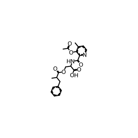 CC(=O)Oc1c(C)ccnc1C(=O)NC(COC(=O)C(C)Cc1ccccc1)C(=O)O